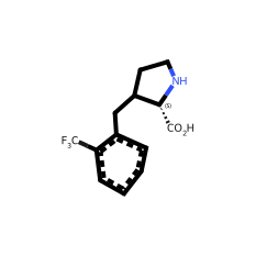 O=C(O)[C@H]1NCCC1Cc1ccccc1C(F)(F)F